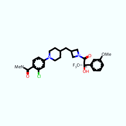 CNC(=O)c1ccc(N2CCC(CC3CN(C(=O)[C@](O)(c4cccc(OC)c4)C(F)(F)F)C3)CC2)cc1Cl